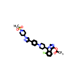 CS(=O)(=O)N1CCC(n2cc(-c3ccc(N4CCC(C5c6c(F)cccc6-c6c(OC(=O)C(F)(F)F)ncn65)CC4)cc3)cn2)CC1